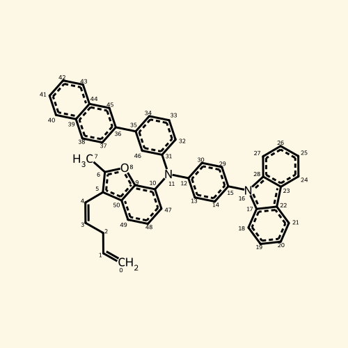 C=CC/C=C\c1c(C)oc2c(N(c3ccc(-n4c5ccccc5c5ccccc54)cc3)c3cccc(-c4ccc5ccccc5c4)c3)cccc12